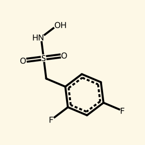 O=S(=O)(Cc1ccc(F)cc1F)NO